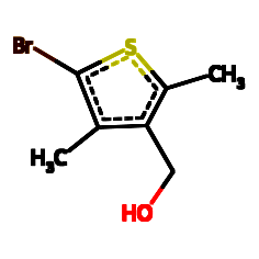 Cc1sc(Br)c(C)c1CO